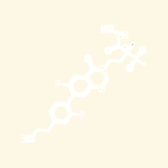 C[C@@](CCn1cnc2cc(-c3ccc(CCO)cc3F)c(F)cc2c1=O)(C(=O)NO)S(C)(=O)=O